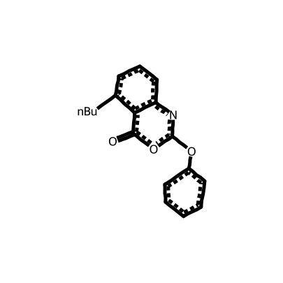 CCCCc1cccc2nc(Oc3ccccc3)oc(=O)c12